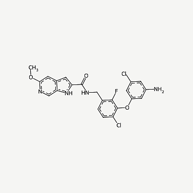 COc1cc2cc(C(=O)NCc3ccc(Cl)c(Oc4cc(N)cc(Cl)c4)c3F)[nH]c2cn1